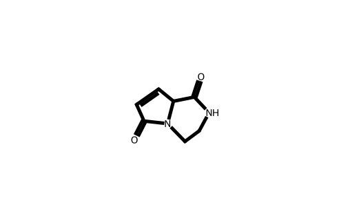 O=C1NCCN2C(=O)C=CC12